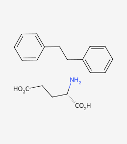 N[C@@H](CCC(=O)O)C(=O)O.c1ccc(CCc2ccccc2)cc1